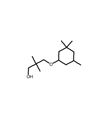 CC1CC(OCC(C)(C)CO)CC(C)(C)C1